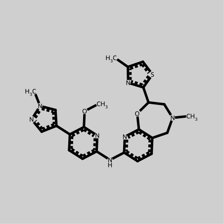 COc1nc(Nc2ccc3c(n2)OC(c2nc(C)cs2)CN(C)C3)ccc1-c1cnn(C)c1